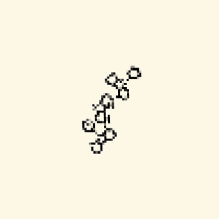 c1ccc(-n2c3ccccc3c3c(-c4ccc5sc6ccc(-c7cccc8c9ccccc9n(-c9ccccc9)c78)nc6c5n4)cccc32)cc1